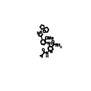 COc1c(Nc2cc(NC(=O)C3CC3)ncc2C(N)=O)cccc1-c1cnn([C@@H]2CCC[C@]23CCCO3)c1